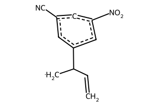 [CH2]C(C=C)c1cc(C#N)cc([N+](=O)[O-])c1